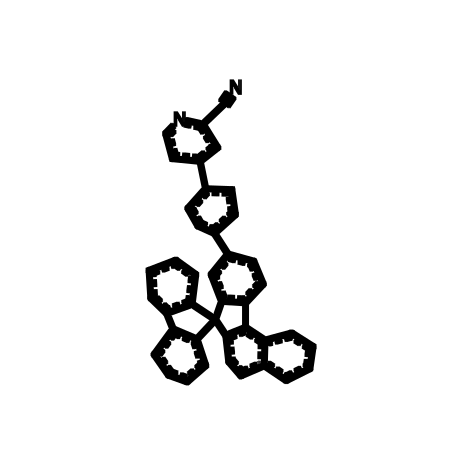 N#Cc1cc(-c2ccc(-c3ccc4c(c3)C3(c5ccccc5-c5ccccc53)c3ccc5ccccc5c3-4)cc2)ccn1